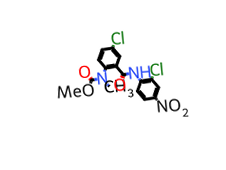 COC(=O)N(C)c1ccc(Cl)cc1C(=O)Nc1ccc([N+](=O)[O-])cc1Cl